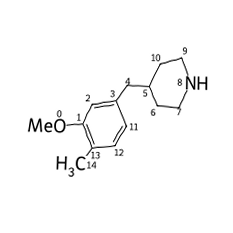 COc1cc(CC2CCNCC2)ccc1C